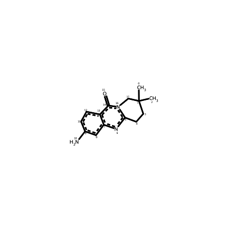 CC1(C)CCc2nc3cc(N)ccc3c(=O)n2C1